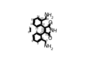 CC.NCc1ccccc1C1=C(c2ccccc2CN)C(=O)NC1=O